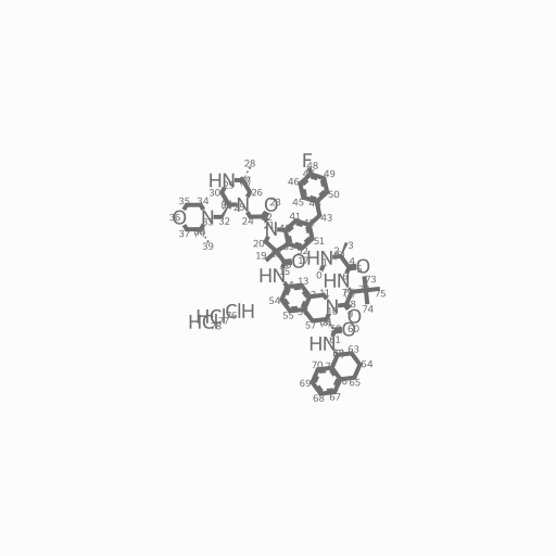 CN[C@@H](C)C(=O)N[C@H](C(=O)N1Cc2cc(NC(=O)C3(C)CN(C(=O)CN4C[C@@H](C)NC[C@@H]4CN4CCOC[C@H]4C)c4cc(Cc5ccc(F)cc5)ccc43)ccc2C[C@H]1C(=O)N[C@@H]1CCCc2ccccc21)C(C)(C)C.Cl.Cl.Cl